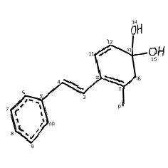 CC1=C(C=Cc2ccccc2)C=CC(O)(O)C1